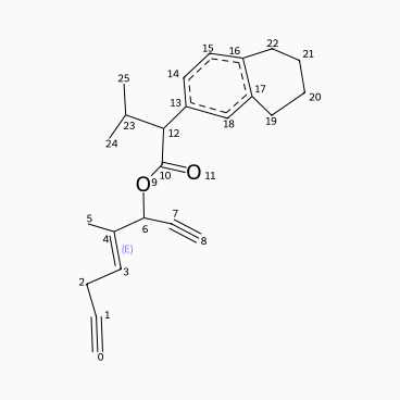 C#CC/C=C(\C)C(C#C)OC(=O)C(c1ccc2c(c1)CCCC2)C(C)C